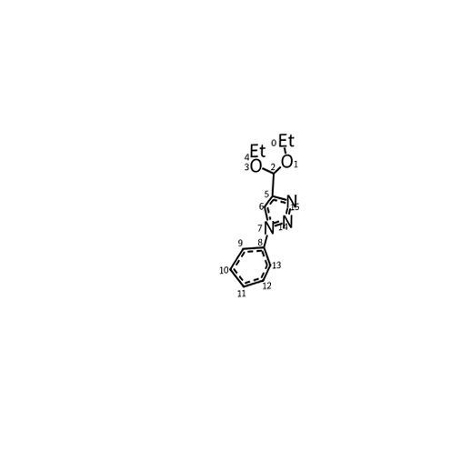 CCOC(OCC)c1cn(-c2ccccc2)nn1